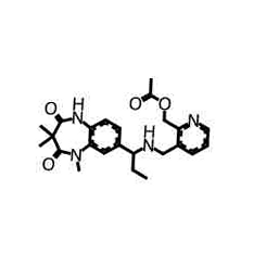 CCC(NCc1cccnc1COC(C)=O)c1ccc2c(c1)N(C)C(=O)C(C)(C)C(=O)N2